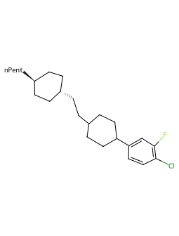 CCCCC[C@H]1CC[C@H](CCC2CCC(c3ccc(Cl)c(F)c3)CC2)CC1